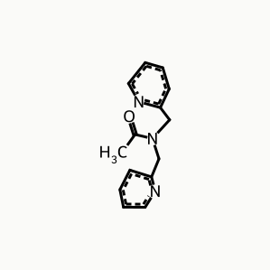 CC(=O)N(Cc1ccccn1)Cc1ccccn1